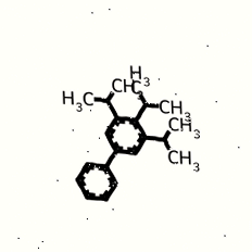 CC(C)c1cc(-c2ccccc2)cc(C(C)C)c1C(C)C